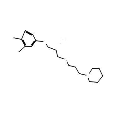 Cl.Cl.Clc1ccc(OCCCNCCCN2CCCCC2)cc1Cl